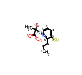 CC(C)(Br)C(=O)O.CCCc1ncccc1S